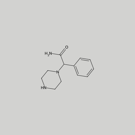 NC(=O)C(c1ccccc1)N1CCNCC1